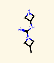 CC1CN(C(=N)NC2CNC2)C1